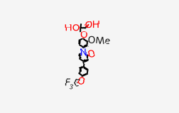 COc1cc(-n2ccc(-c3ccc(OC(F)(F)F)cc3)cc2=O)ccc1OCC(C)(O)CO